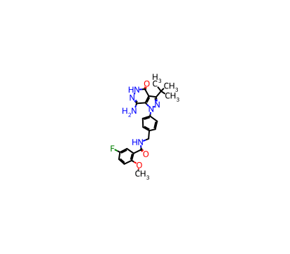 COc1ccc(F)cc1C(=O)NCc1ccc(-n2nc(C(C)(C)C)c3c(=O)[nH]nc(N)c32)cc1